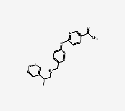 CC(CNCc1ccc(Oc2ccc(C(N)=O)cn2)cc1)c1ccccc1